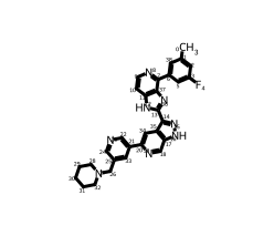 Cc1cc(F)cc(-c2nccc3[nH]c(-c4n[nH]c5cnc(-c6cncc(CN7CCCCC7)c6)cc45)nc23)c1